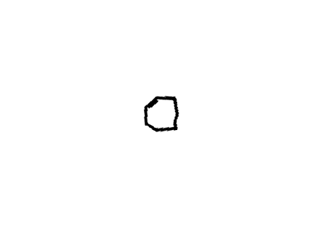 C1=CCCCCC1